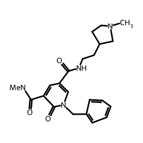 CNC(=O)c1cc(C(=O)NCCC2CCN(C)C2)cn(Cc2ccccc2)c1=O